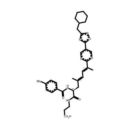 C/C(=C\C=C(/C)c1ncc(-c2nc(CC3CCCCC3)no2)cn1)C[C@H](NC(=O)c1ccc(C(C)(C)C)cc1)C(=O)NCCC(=O)O